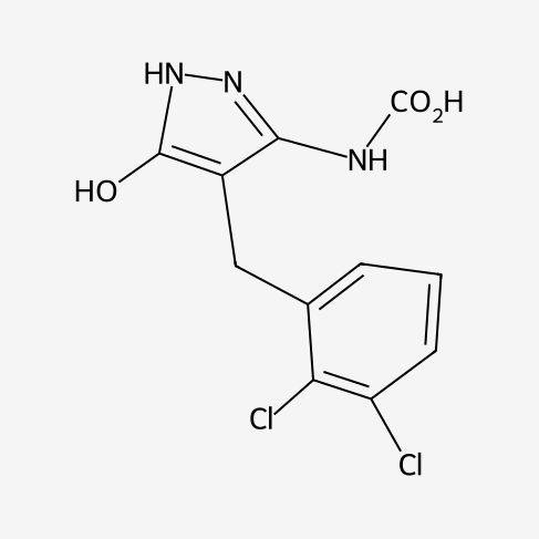 O=C(O)Nc1n[nH]c(O)c1Cc1cccc(Cl)c1Cl